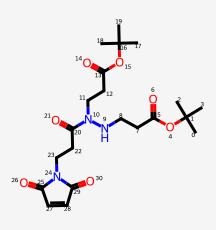 CC(C)(C)OC(=O)CCNN(CCC(=O)OC(C)(C)C)C(=O)CCN1C(=O)C=CC1=O